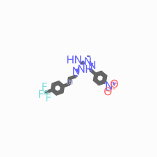 CN(N=Cc1ccc([N+](=O)[O-])cc1)C(=N)NN=C/C=C/c1ccc(C(F)(F)F)cc1